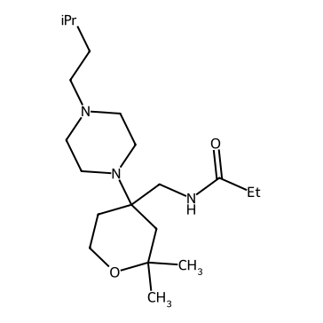 CCC(=O)NCC1(N2CCN(CCC(C)C)CC2)CCOC(C)(C)C1